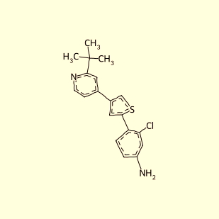 CC(C)(C)c1cc(-c2csc(-c3ccc(N)cc3Cl)c2)ccn1